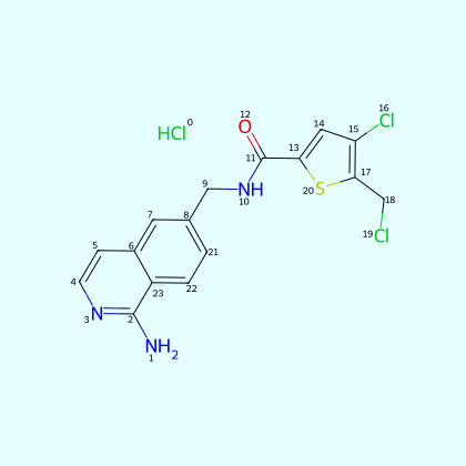 Cl.Nc1nccc2cc(CNC(=O)c3cc(Cl)c(CCl)s3)ccc12